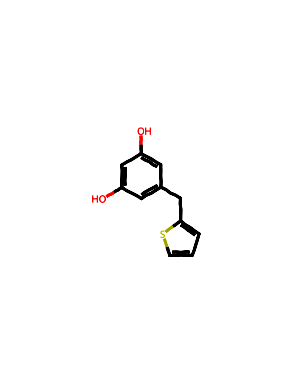 Oc1cc(O)cc(Cc2cccs2)c1